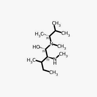 CCC(C)[C@H](NC)[C@H](O)N(C)[C@H](C)C(C)C